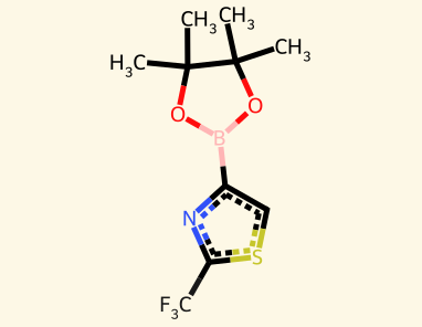 CC1(C)OB(c2csc(C(F)(F)F)n2)OC1(C)C